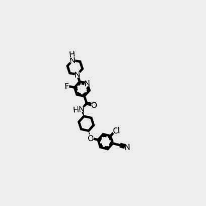 N#Cc1ccc(O[C@H]2CC[C@H](NC(=O)c3cnc(N4CCNCC4)c(F)c3)CC2)cc1Cl